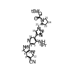 CC(C)Nc1cc(-n2ncc3cc(C#N)cnc32)ncc1-c1cn(C[C@H]2CCCN2C(=O)OC(C)(C)C)nn1